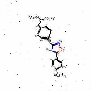 CNC(Cc1ccc(-c2noc(-c3ccc(C)cc3)n2)cc1)C(=O)O